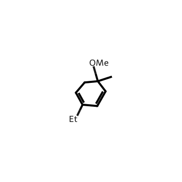 CCC1=CCC(C)(OC)C=C1